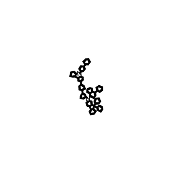 c1ccc(-c2ccc(-n3c4ccccc4c4cc(-c5ccc(-c6cccc(N(c7ccc8c(c7)C(c7ccccc7)(c7ccccc7)c7ccccc7-8)c7ccc(-c8ccccc8)c8ccccc78)c6)cc5)ccc43)cc2)cc1